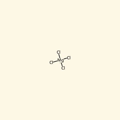 [Cl][Mg]([Cl])([Cl])[Cl]